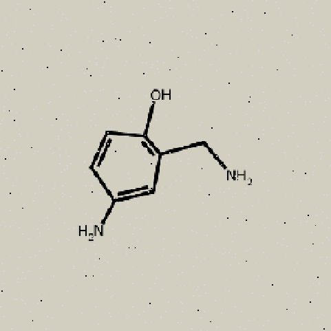 NCc1cc(N)ccc1O